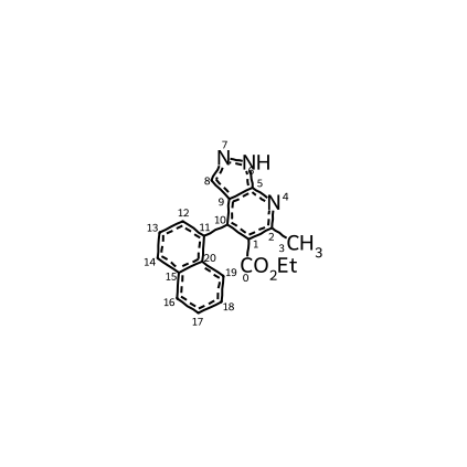 CCOC(=O)c1c(C)nc2[nH]ncc2c1-c1cccc2ccccc12